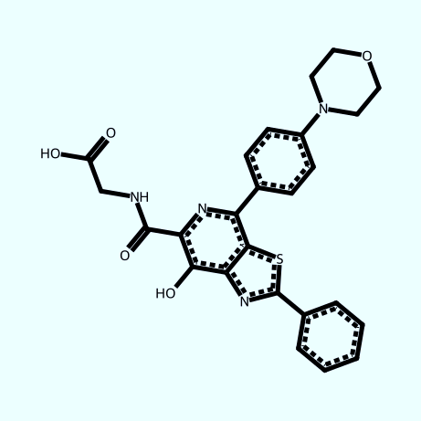 O=C(O)CNC(=O)c1nc(-c2ccc(N3CCOCC3)cc2)c2sc(-c3ccccc3)nc2c1O